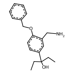 CCC(O)(CC)c1ccc(OCc2ccccc2)c(CN)c1